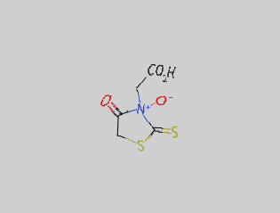 O=C(O)C[N+]1([O-])C(=O)CSC1=S